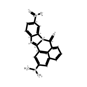 CN(C)c1cc2cccc3c(=O)n4c5cc([N+](=O)[O-])ccc5nc4c(c1)c23